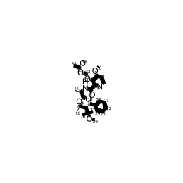 COc1ccnc(C(=O)N[C@@H](C)C(=O)O[C@@H](C)[C@H](Cc2ccccc2)C(C)(C)OC)c1OCOC(C)=O